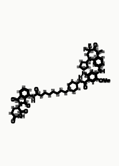 COc1cc(C(=O)NC2CCN(CCCCCCCC(=O)Nc3cccc4c3C(=O)N(C3CCC(=O)NC3=O)C4=O)CC2)c(F)cc1Nc1ncc2c(n1)N(C1CCCC1)CC(F)(F)C(=O)N2C